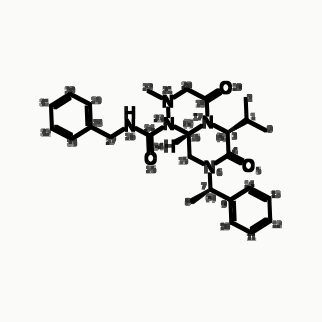 CC(C)[C@H]1C(=O)N([C@H](C)c2ccccc2)C[C@H]2N1C(=O)CN(C)N2C(=O)NCc1ccccc1